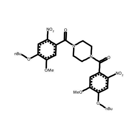 CCCCOc1cc([N+](=O)[O-])c(C(=O)N2CCN(C(=O)c3cc(OC)c(OCCCC)cc3[N+](=O)[O-])CC2)cc1OC